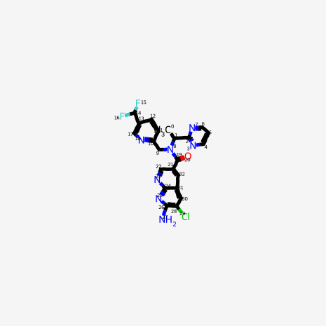 CC(c1ncccn1)N(Cc1ccc(C(F)F)cn1)C(=O)c1cnc2nc(N)c(Cl)cc2c1